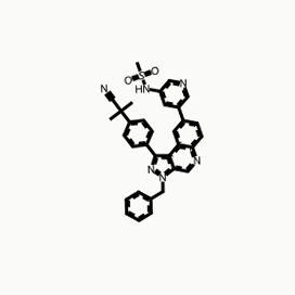 CC(C)(C#N)c1ccc(-c2nn(Cc3ccccc3)c3cnc4ccc(-c5cncc(NS(C)(=O)=O)c5)cc4c23)cc1